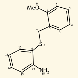 COc1ccccc1CSc1ccccc1N